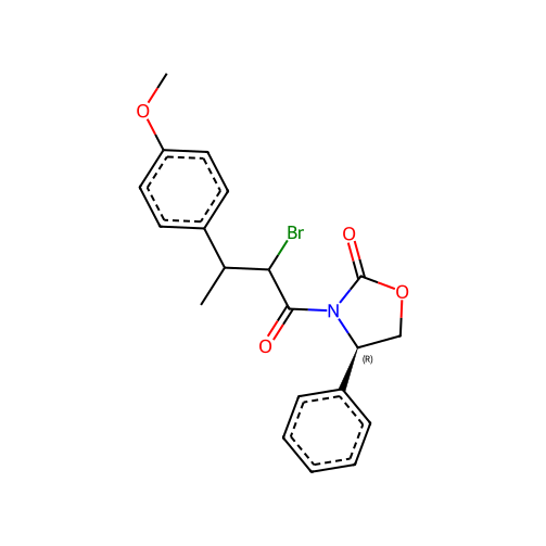 COc1ccc(C(C)C(Br)C(=O)N2C(=O)OC[C@H]2c2ccccc2)cc1